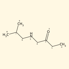 CCC(=O)CNCC(C)C